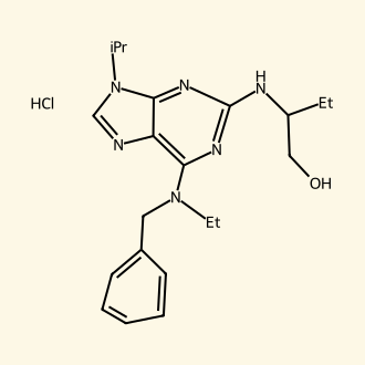 CCC(CO)Nc1nc(N(CC)Cc2ccccc2)c2ncn(C(C)C)c2n1.Cl